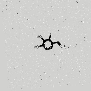 C=Cc1ccc(O)c(O)c1I